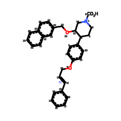 O=C(O)N1CCC(c2ccc(OC/C=C/c3ccccc3)cc2)C(OCc2ccc3ccccc3c2)C1